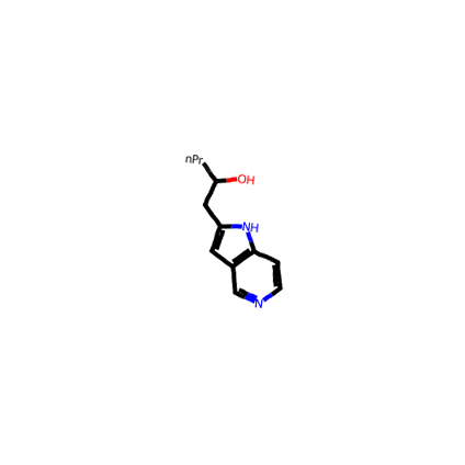 CCCC(O)Cc1cc2cnccc2[nH]1